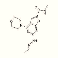 C/C=N/Nc1nc(N2CCOCC2)c2cc(C(=O)NC)oc2n1